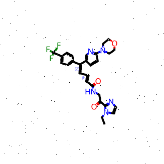 CCn1ccnc1C(=O)CNC(=O)/C=C/C=C(/c1ccc(C(F)(F)F)cc1)c1ccc(N2CCOCC2)nc1